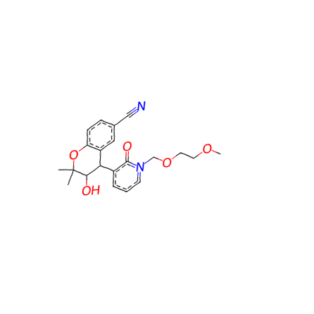 COCCOCn1cccc(C2c3cc(C#N)ccc3OC(C)(C)C2O)c1=O